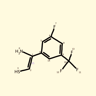 N/C(=C\S)c1cc(F)cc(C(F)(F)F)c1